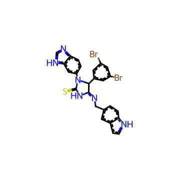 S=C1N/C(=N\Cc2ccc3[nH]ccc3c2)C(c2cc(Br)cc(Br)c2)N1c1ccc2nc[nH]c2c1